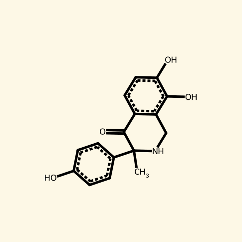 CC1(c2ccc(O)cc2)NCc2c(ccc(O)c2O)C1=O